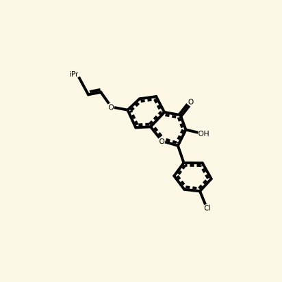 CC(C)C=COc1ccc2c(=O)c(O)c(-c3ccc(Cl)cc3)oc2c1